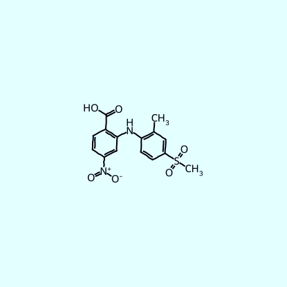 Cc1cc(S(C)(=O)=O)ccc1Nc1cc([N+](=O)[O-])ccc1C(=O)O